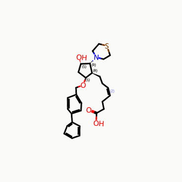 O=C(O)CC/C=C\CC[C@@H]1[C@@H](N2CCSCC2)[C@@H](O)C[C@@H]1OCc1ccc(-c2ccccc2)cc1